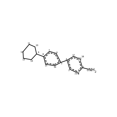 Nc1ncc(-c2ccc(C3CCCCC3)cc2)cn1